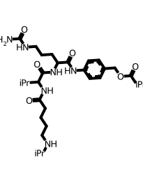 CC(C)NCCCCC(=O)NC(C(=O)NC(CCCNC(N)=O)C(=O)Nc1ccc(COC(=O)C(C)C)cc1)C(C)C